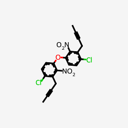 CC#CCc1c(Cl)ccc(Oc2ccc(Cl)c(CC#CC)c2[N+](=O)[O-])c1[N+](=O)[O-]